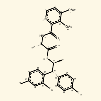 COc1ccnc(C(=O)N[C@@H](C)C(=O)O[C@@H](C)[C@H](c2ccc(F)cc2)c2ccc(C)cc2F)c1OC(C)=O